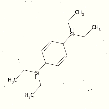 CC[SiH](CC)C1C=CC([SiH](CC)CC)C=C1